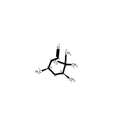 C[C@@H](CC=O)C[C@H](C)C(C)(C)C